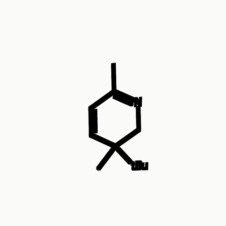 CC1=NCC(C)(C(C)(C)C)C=C1